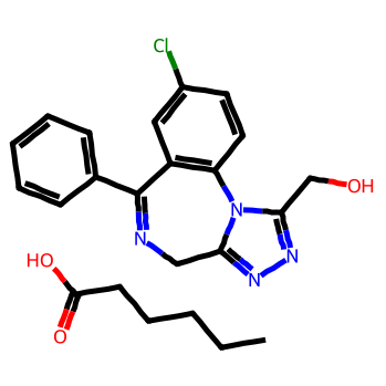 CCCCCC(=O)O.OCc1nnc2n1-c1ccc(Cl)cc1C(c1ccccc1)=NC2